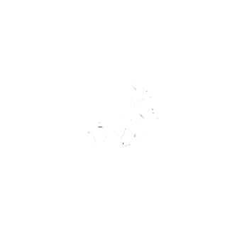 Cn1c(=O)n(C)c2cc(Cn3cnc(-c4cc(F)ccc4F)c3C3CC3)ccc21